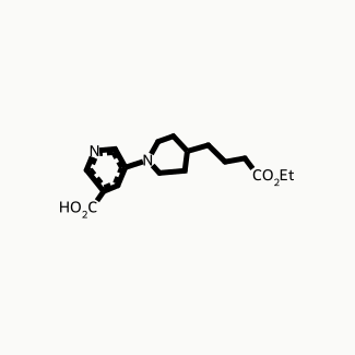 CCOC(=O)CCCC1CCN(c2cncc(C(=O)O)c2)CC1